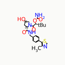 Cc1ncsc1-c1ccc(CNC(=O)[C@@H]2C[C@@H](O)CN2C(=O)C(OC(N)=O)C(C)(C)C)cc1